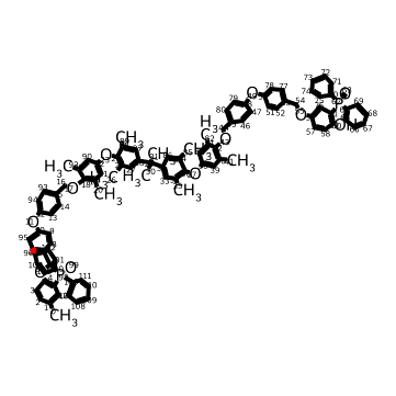 Cc1ccc(OCc2ccc(Oc3ccc(COc4c(C)cc(Oc5c(C)cc(C(C)(C)c6cc(C)c(Oc7cc(C)c(OCc8ccc(Oc9ccc(COc%10ccc(O)c(P(=O)(c%11ccccc%11)c%11ccccc%11)c%10)cc9)cc8)c(C)c7)c(C)c6)cc5C)cc4C)cc3)cc2)c(P(=O)(c2ccccc2)c2ccccc2)c1